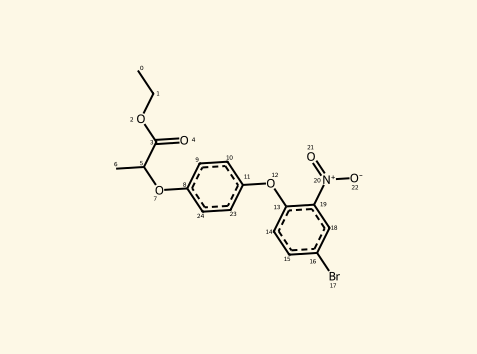 CCOC(=O)C(C)Oc1ccc(Oc2ccc(Br)cc2[N+](=O)[O-])cc1